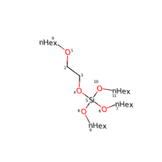 CCCCCCOCCO[Si](OCCCCCC)(OCCCCCC)OCCCCCC